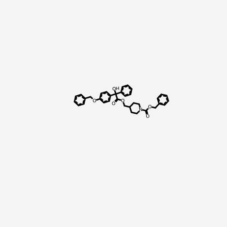 O=C(OCc1ccccc1)N1CCC(COC(=O)C(O)(c2ccccc2)c2ccc(OCc3ccccc3)cc2)CC1